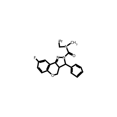 CC(C)CN(C)C(=O)N1N=C2c3cc(F)ccc3OCC2C1c1ccccc1